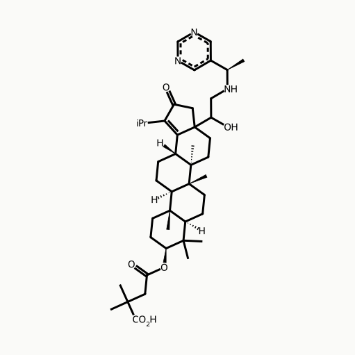 CC(C)C1=C2[C@H]3CC[C@@H]4[C@@]5(C)CC[C@H](OC(=O)CC(C)(C)C(=O)O)C(C)(C)[C@@H]5CC[C@@]4(C)[C@]3(C)CCC2(C(O)CN[C@H](C)c2cncnc2)CC1=O